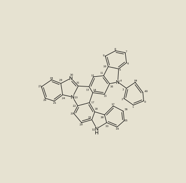 c1ccc(-n2c3ccccc3c3cc4c(cc32)c2c3c(ccc2n2c5ccccc5nc42)[nH]c2ccccc23)cc1